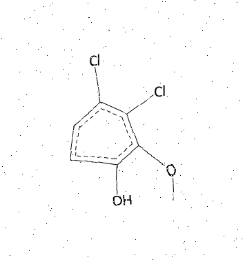 COc1c(O)ccc(Cl)c1Cl